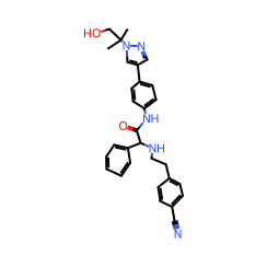 CC(C)(CO)n1cc(-c2ccc(NC(=O)C(NCCc3ccc(C#N)cc3)c3ccccc3)cc2)cn1